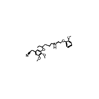 CCC(CCCNCCOc1ccccc1OC)Oc1cc(CC#N)cc(OC)c1OC